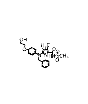 Cc1sc(N(Cc2ccccc2)c2ccc(OCCO)cc2)nc1C(=O)NS(C)(=O)=O